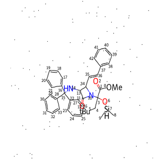 COC(=O)C(CC(C)(C)C)(O[SiH](C)C)N1C(=O)C(NC(c2ccccc2)(c2ccccc2)c2ccccc2)C1/C=C/c1ccccc1